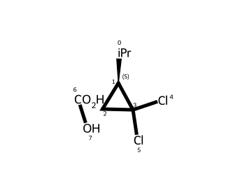 CC(C)[C@@H]1CC1(Cl)Cl.O=C(O)O